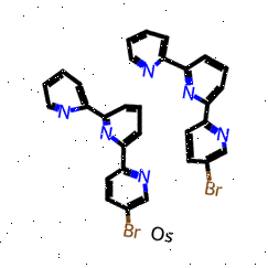 Brc1ccc(-c2cccc(-c3ccccn3)n2)nc1.Brc1ccc(-c2cccc(-c3ccccn3)n2)nc1.[Os]